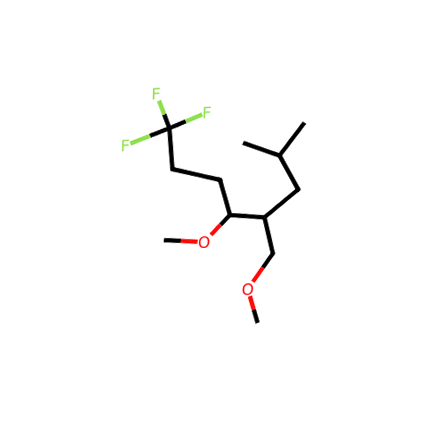 COCC(CC(C)C)C(CCC(F)(F)F)OC